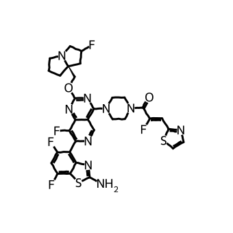 Nc1nc2c(-c3ncc4c(N5CCN(C(=O)/C(F)=C/c6nccs6)CC5)nc(OC[C@@]56CCCN5CC(F)C6)nc4c3F)c(F)cc(F)c2s1